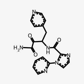 NC(=O)C(=O)C(Cc1ccncc1)NC(=O)c1nccn1-c1ccccn1